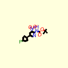 CC(C)(C)OC(=O)Nc1ncc(-c2ccc(F)cc2)cc1[N+](=O)[O-]